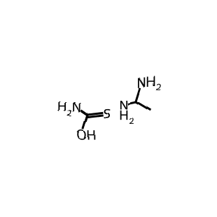 CC(N)N.NC(O)=S